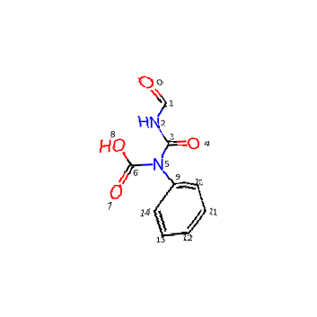 O=[C]NC(=O)N(C(=O)O)c1ccccc1